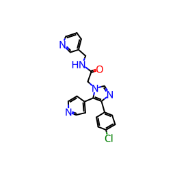 O=C(Cn1cnc(-c2ccc(Cl)cc2)c1-c1ccncc1)NCc1cccnc1